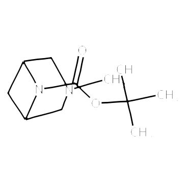 CN1CC2CC(C1)N2C(=O)OC(C)(C)C